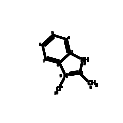 Cc1[nH]c2ccccc2[n+]1[O-]